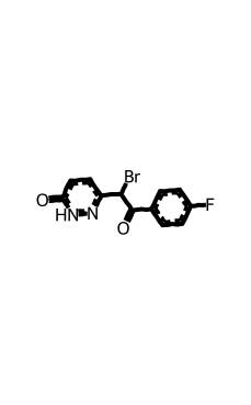 O=C(c1ccc(F)cc1)C(Br)c1ccc(=O)[nH]n1